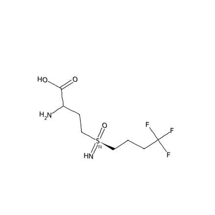 N=[S@](=O)(CCCC(F)(F)F)CCC(N)C(=O)O